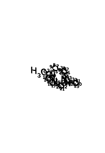 Cc1cc(-c2ccccc2)nc2c1ccc1ccc(-c3cccc(-c4nc(-c5ccccc5)cc(-c5ccccc5)n4)c3)nc12